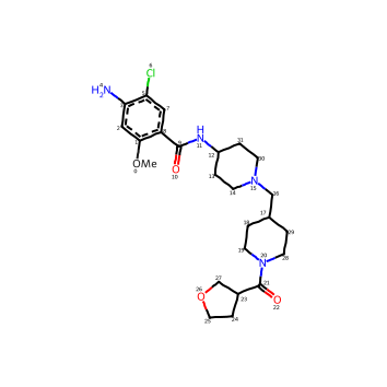 COc1cc(N)c(Cl)cc1C(=O)NC1CCN(CC2CCN(C(=O)C3CCOC3)CC2)CC1